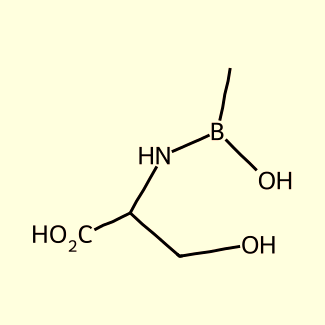 CB(O)NC(CO)C(=O)O